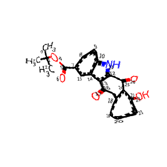 CC(C)(C)OC(=O)c1ccc2[nH]c3c(c2c1)C(=O)c1cccc(O)c1C3=O